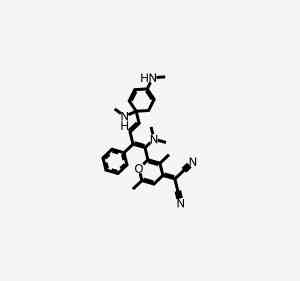 CNC1=CCC(C=CC(=C(C2=C(C)C(=C(C#N)C#N)C=C(C)O2)N(C)C)c2ccccc2)(NC)C=C1